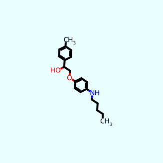 CCCCCNc1ccc(OCC(O)c2ccc(C)cc2)cc1